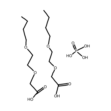 CCCCOCCOCC(=O)O.CCCCOCCOCC(=O)O.O=P(O)(O)O